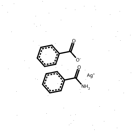 NC(=O)c1ccccc1.O=C([O-])c1ccccc1.[Ag+]